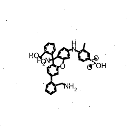 Cc1cc(S(=O)(=O)O)ccc1Nc1ccc2c(c1)Oc1cc(-c3ccccc3CN)ccc1C2(N)c1ccccc1C(=O)O